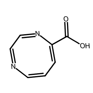 O=C(O)C1=CC=CN=CC=N1